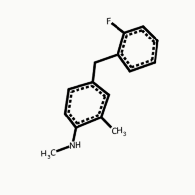 CNc1ccc(Cc2ccccc2F)cc1C